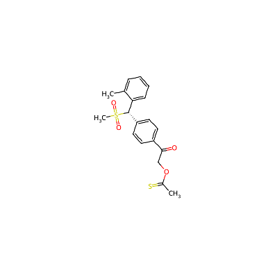 CC(=S)OCC(=O)c1ccc([C@@H](c2ccccc2C)S(C)(=O)=O)cc1